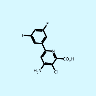 Nc1cc(-c2cc(F)cc(F)c2)nc(C(=O)O)c1Cl